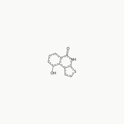 O=c1[nH]c2sccc2c2c(O)cccc12